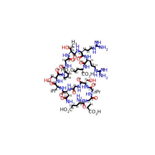 CC(C)[C@H](NC(=O)[C@H](CCC(=O)O)NC(=O)[C@@H](N)CCC(=O)O)C(=O)N[C@@H](CO)C(=O)NCC(=O)N[C@@H](CC(N)=O)C(=O)N[C@H](C(=O)N[C@@H](CO)C(=O)N1CCC[C@H]1C(=O)NCC(=O)N[C@H](C(=O)N[C@@H](CCCNC(=N)N)C(=O)N[C@@H](CCCNC(=N)N)C(=O)N[C@@H](CCC(=O)O)C(=O)O)[C@@H](C)O)C(C)C